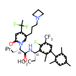 Cc1cc(C)c(-c2cc(C(F)(F)F)c(F)c([C@H](CC(=O)O)NC(=O)[C@H](CC(C)C)n3cc(CCCN4CCC4)c(C(C)(F)F)cc3=O)c2C)c(C)c1